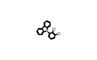 Clc1cccc(-n2c3ccccc3c3ccccc32)c1Cl